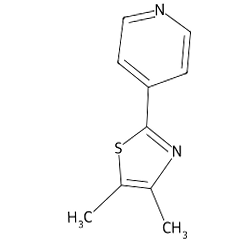 Cc1nc(-c2ccncc2)sc1C